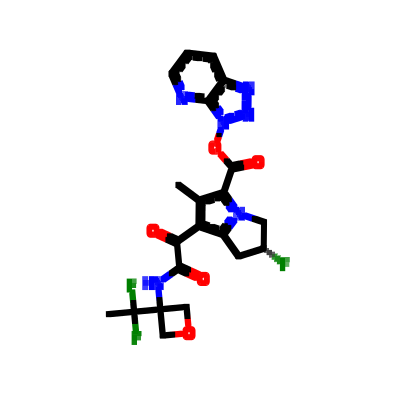 Cc1c(C(=O)C(=O)NC2(C(C)(F)F)COC2)c2n(c1C(=O)On1nnc3cccnc31)C[C@H](F)C2